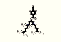 CC(C)=CCC/C(C)=C/CC(/C=C(\C)CCC=C(C)C)OC(=O)c1ccc(C#N)cc1